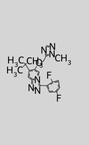 Cn1ncnc1COc1cn2c(-c3cc(F)ccc3F)nnc2cc1C(C)(C)C